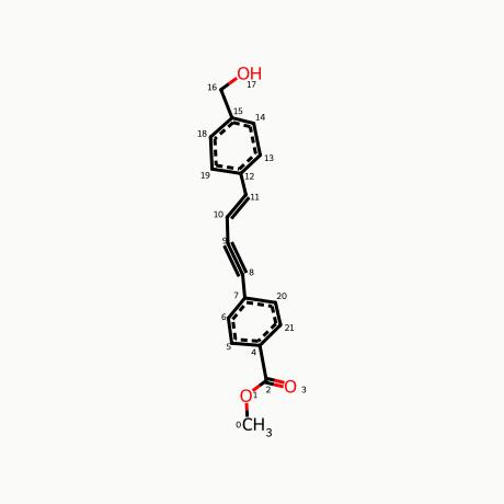 COC(=O)c1ccc(C#CC=Cc2ccc(CO)cc2)cc1